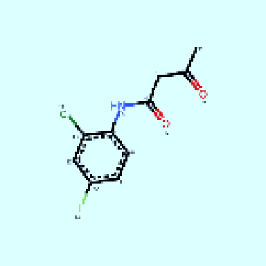 CC(=O)CC(=O)Nc1ccc(F)cc1Cl